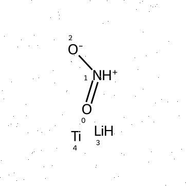 O=[NH+][O-].[LiH].[Ti]